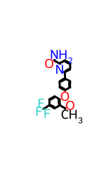 CC(=O)c1cc(C(F)(F)F)ccc1Oc1ccc(-c2cccc(C(N)=O)n2)cc1